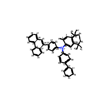 Cc1cc2c(cc1N(c1ccc(-c3ccccc3)cc1)c1ccc(-c3cc4ccccc4c4ccccc34)cc1)C(C)(C)CCC2(C)C